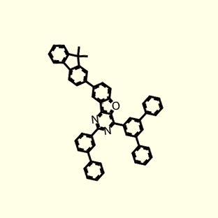 CC1(C)c2ccccc2-c2ccc(-c3ccc4oc5c(-c6cc(-c7ccccc7)cc(-c7ccccc7)c6)nc(-c6cccc(-c7ccccc7)c6)nc5c4c3)cc21